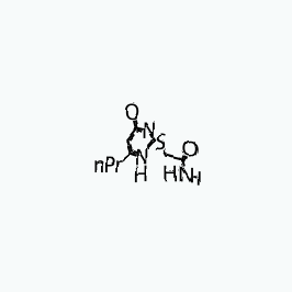 CCCc1cc(=O)nc(SCC(=O)NI)[nH]1